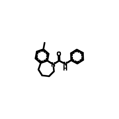 Cc1ccc2c(c1)N(C(=O)Nc1ccccc1)CCCC2